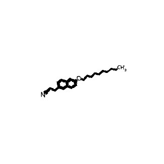 CCCCCCCCCCOc1ccc2cc(CCC#N)ccc2c1